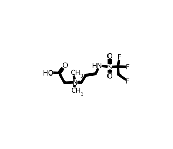 C[N+](C)(CCCNS(=O)(=O)C(F)(F)CF)CC(=O)O